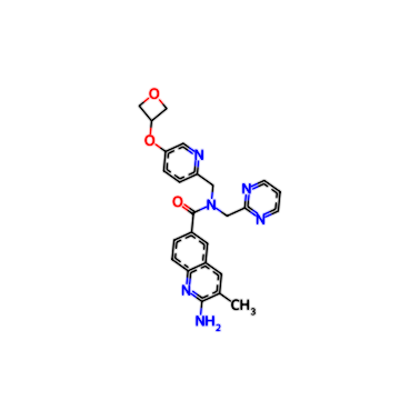 Cc1cc2cc(C(=O)N(Cc3ccc(OC4COC4)cn3)Cc3ncccn3)ccc2nc1N